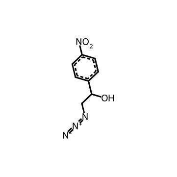 [N-]=[N+]=NCC(O)c1ccc([N+](=O)[O-])cc1